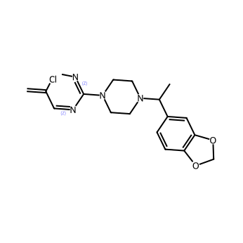 C=C(Cl)/C=N\C(=N/C)N1CCN(C(C)c2ccc3c(c2)OCO3)CC1